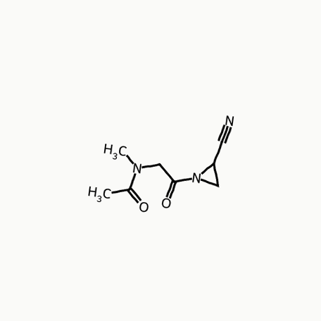 CC(=O)N(C)CC(=O)N1CC1C#N